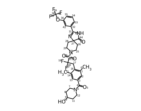 Cc1cc(C(=O)N2CCC(O)CC2)cc(C)c1CC(F)(F)S(=O)(=O)N1CCC2(CC1)N=C(c1cccc(OC(F)(F)F)c1)NC2=O